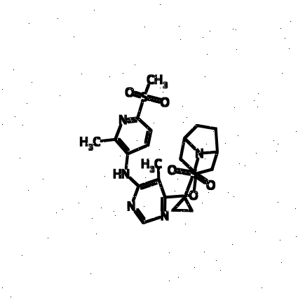 Cc1nc(S(C)(=O)=O)ccc1Nc1ncnc(OC2CC3CCC(C2)N3S(=O)(=O)C2CC2)c1C